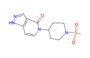 CS(=O)(=O)N1CCC(n2ccc3[nH]ncc3c2=O)CC1